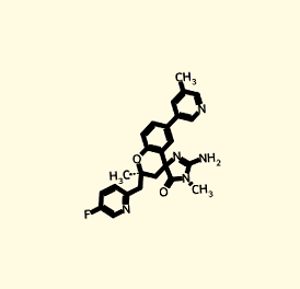 Cc1cncc(-c2ccc3c(c2)C2(C[C@@](C)(Cc4ccc(F)cn4)O3)N=C(N)N(C)C2=O)c1